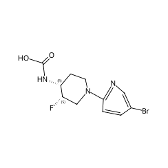 O=C(O)N[C@@H]1CCN(c2ccc(Br)cn2)C[C@@H]1F